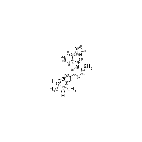 CC(C)C(C)(O)c1cc([C@@H]2CC[C@@H](C)N(C(=O)c3ccccc3-n3nccn3)C2)no1